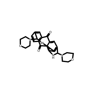 O=C1c2cc3ccc2C(=O)c2c1cc1c(c2NC1N1CCOCC1)NC3N1CCOCC1